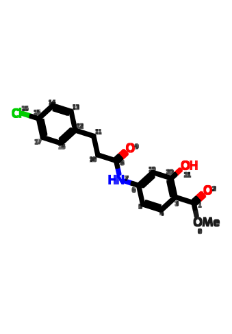 COC(=O)c1ccc(NC(=O)CCc2ccc(Cl)cc2)cc1O